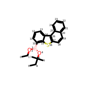 CCOB(OC(C)(C)CC)c1cccc2c1sc1ccc3ccccc3c12